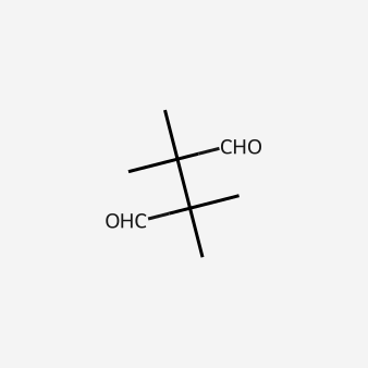 CC(C)(C=O)C(C)(C)C=O